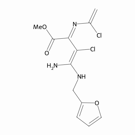 C=C(Cl)/N=C(C(=O)OC)\C(Cl)=C(/N)NCc1ccco1